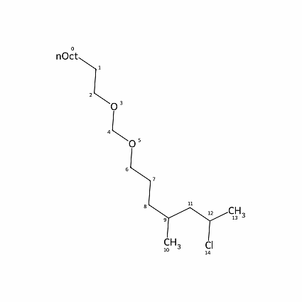 CCCCCCCCCCOCOCCCC(C)CC(C)Cl